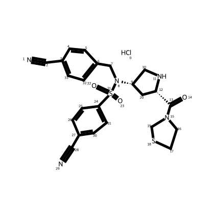 Cl.N#Cc1ccc(CN([C@@H]2CN[C@H](C(=O)N3CCSC3)C2)S(=O)(=O)c2ccc(C#N)cc2)cc1